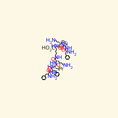 CC(C)C[C@@H](NC(=O)[C@H](N)Cc1ccccc1)C(=O)N[C@H](CCCN)C(=O)N[C@@H](CCCCNC(=O)[C@@H](CCCCN)NC(=O)[C@@H](CC(C)C)NC(=O)[C@@H](Cc1ccccc1)NC(=O)[C@H](N)Cc1ccccc1)C(=O)O